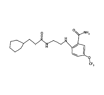 NC(=O)c1cc(OC(F)(F)F)ccc1NCCNC(=O)[CH]CC1CCCCC1